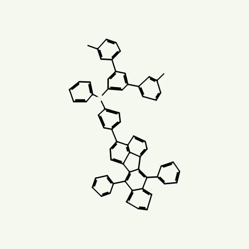 Cc1cccc(-c2cc(-c3cccc(C)c3)cc(N(c3ccccc3)c3ccc(-c4ccc5c6c(cccc46)-c4c-5c(-c5ccccc5)c5ccccc5c4-c4ccccc4)cc3)c2)c1